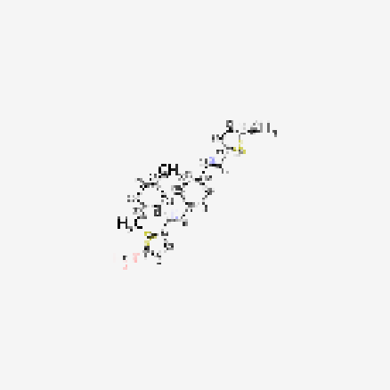 Bc1ccc(/C=C/c2ccc(/C=C/c3ccc(C)s3)cc2-c2cc(C)ccc2C)s1